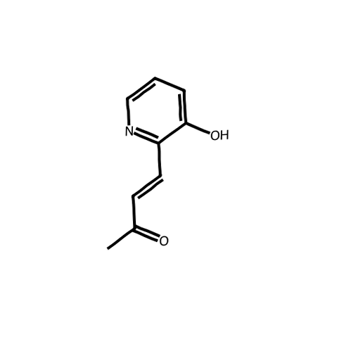 CC(=O)C=Cc1ncccc1O